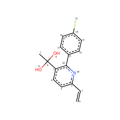 C=Cc1ccc(C(C)(O)O)c(-c2ccc(F)cc2)n1